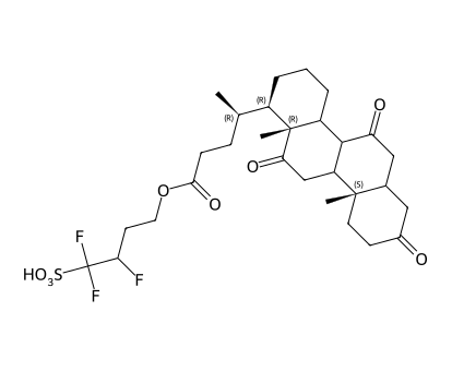 C[C@H](CCC(=O)OCCC(F)C(F)(F)S(=O)(=O)O)[C@H]1CCCC2C3C(=O)CC4CC(=O)CC[C@]4(C)C3CC(=O)[C@@]21C